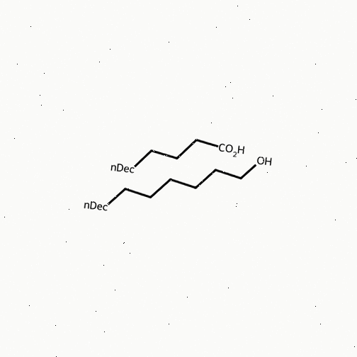 CCCCCCCCCCCCCC(=O)O.CCCCCCCCCCCCCCCCO